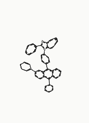 C1=CC(c2ccc3c(-c4ccccc4)c4ccccc4c(-c4ccc(-n5c(-c6ccccc6)nc6ccccc65)cc4)c3c2)=CCC1